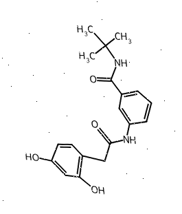 CC(C)(C)NC(=O)c1cccc(NC(=O)Cc2ccc(O)cc2O)c1